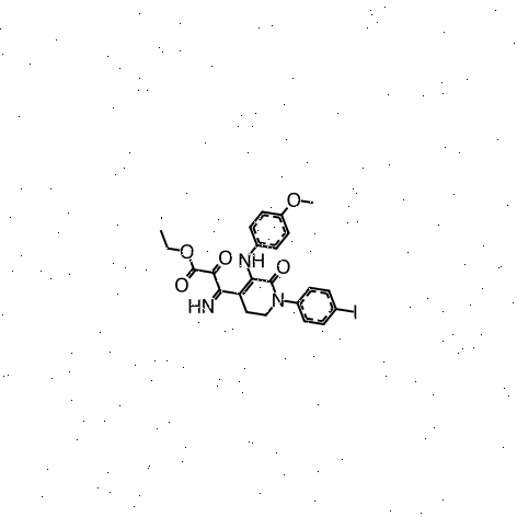 CCOC(=O)C(=O)C(=N)C1=C(Nc2ccc(OC)cc2)C(=O)N(c2ccc(I)cc2)CC1